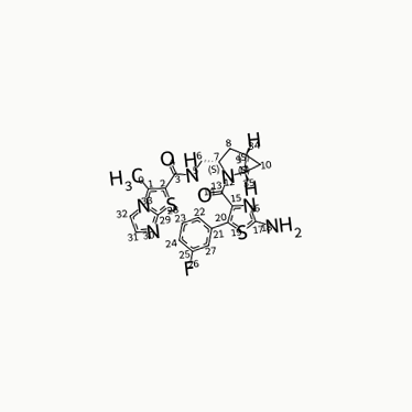 Cc1c(C(=O)NC[C@@H]2C[C@@H]3C[C@@H]3N2C(=O)c2nc(N)sc2-c2cccc(F)c2)sc2nccn12